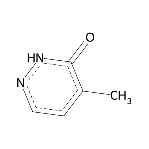 Cc1ccn[nH]c1=O